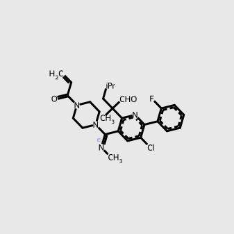 C=CC(=O)N1CCN(/C(=N/C)c2cc(Cl)c(-c3ccccc3F)nc2C(C)(C=O)CC(C)C)CC1